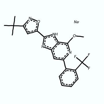 COc1nc(-c2ccccc2C(F)(F)F)cc2nc(-c3cc(C(C)(C)C)no3)[nH]c12.[Na]